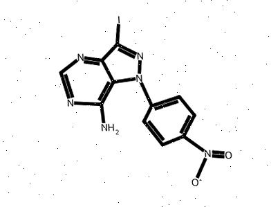 Nc1ncnc2c(I)nn(-c3ccc([N+](=O)[O-])cc3)c12